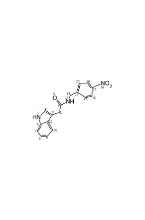 O=C(Cc1c[nH]c2ccccc12)NCc1ccc([N+](=O)[O-])cc1